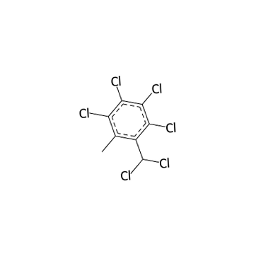 Cc1c(Cl)c(Cl)c(Cl)c(Cl)c1C(Cl)Cl